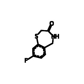 O=C1CSc2cc(F)ccc2CN1